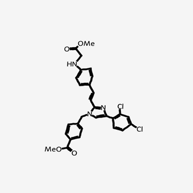 COC(=O)CNc1ccc(C=Cc2nc(-c3ccc(Cl)cc3Cl)cn2Cc2ccc(C(=O)OC)cc2)cc1